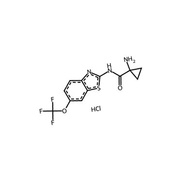 Cl.NC1(C(=O)Nc2nc3ccc(OC(F)(F)F)cc3s2)CC1